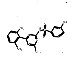 Cc1cccc(C)c1-c1cc(Cl)nc(NS(=O)(=O)c2cccc(O)c2)n1